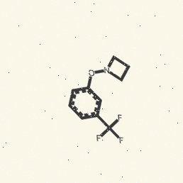 FC(F)(F)c1cccc(ON2CCC2)c1